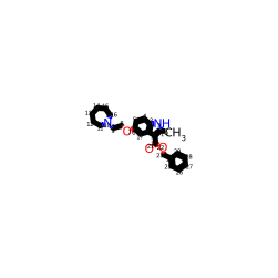 Cc1[nH]c2ccc(OCCN3CCCCCC3)cc2c1C(=O)OCc1ccccc1